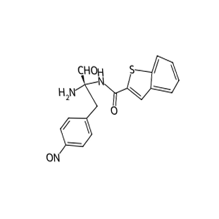 N[C@@](C=O)(Cc1ccc(N=O)cc1)NC(=O)c1cc2ccccc2s1